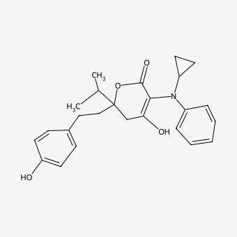 CC(C)C1(CCc2ccc(O)cc2)CC(O)=C(N(c2ccccc2)C2CC2)C(=O)O1